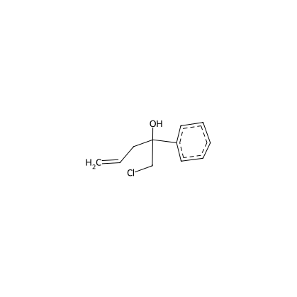 C=CCC(O)(CCl)c1ccccc1